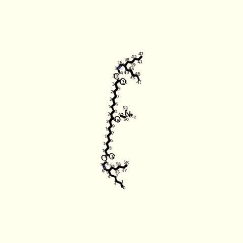 CCCCCC(/C=C\COC(=O)CCCCCCCCCC(CCCCCCCCCC(=O)OC/C=C\C(CCCCC)CCCCC)OCCN(C)C)CCCCC